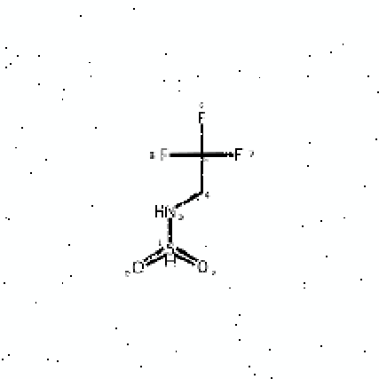 O=[SH](=O)NCC(F)(F)F